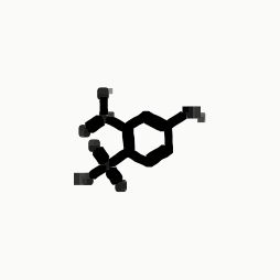 Nc1ccc(S(=O)(=O)O)c([N+](=O)[O-])c1